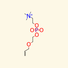 C=CCOCCOP(=O)([O-])OCC[N+](C)(C)C